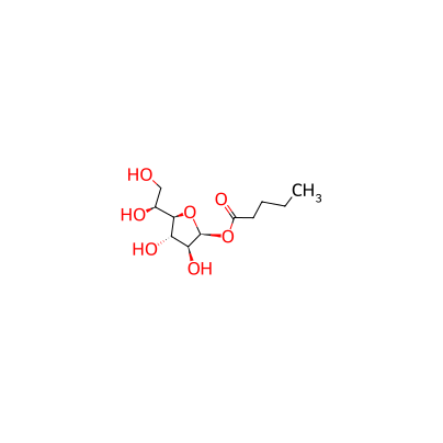 CCCCC(=O)O[C@@H]1O[C@H]([C@@H](O)CO)[C@@H](O)[C@@H]1O